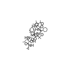 CCC[C@H](NC(=O)[C@@H]1CC2(CN1C(=O)[C@@H](NC(=O)[C@@H](NC(=O)c1[nH]c(C)c(C)c1C(C)=O)C1CCCCC1)C(C)(C)C)SCCCS2)C(O)C(=O)NC1CC1